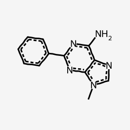 Cn1cnc2c(N)nc(-c3ccccc3)nc21